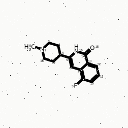 CN1CCC(c2cc3c(F)cccc3c(=O)[nH]2)CC1